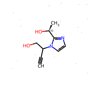 C#CC(CO)n1ccnc1[C@H](C)O